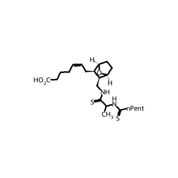 CCCCCC(=S)NC(C)C(=S)NC[C@H]1[C@@H](C/C=C\CCCC(=O)O)[C@H]2CC[C@@H]1O2